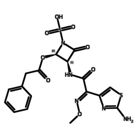 CON=C(C(=O)N[C@@H]1C(=O)N(S(=O)(=O)O)[C@@H]1OC(=O)Cc1ccccc1)c1csc(N)n1